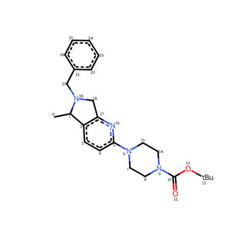 CC1c2ccc(N3CCN(C(=O)OC(C)(C)C)CC3)nc2CN1Cc1ccccc1